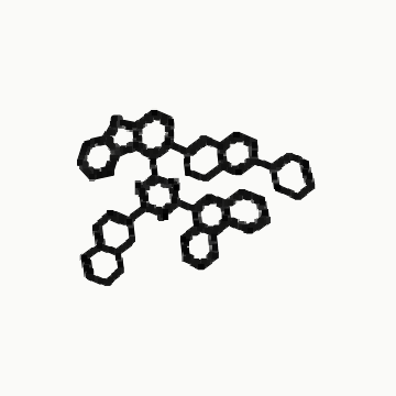 C1=CCCC(c2ccc3c(c2)CCC(c2ccc4oc5ccccc5c4c2-c2nc(C4=CC=C5C=CCCC5C4)nc(-c4cc5ccccc5c5ccccc45)n2)=C3)=C1